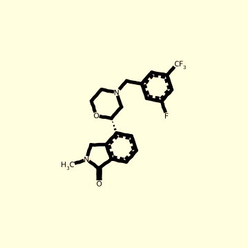 CN1Cc2c(cccc2[C@H]2CN(Cc3cc(F)cc(C(F)(F)F)c3)CCO2)C1=O